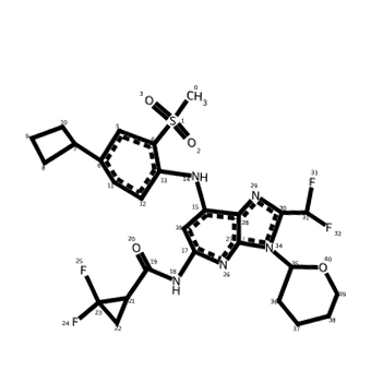 CS(=O)(=O)c1cc(C2CCC2)ccc1Nc1cc(NC(=O)C2CC2(F)F)nc2c1nc(C(F)F)n2C1CCCCO1